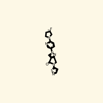 O=C1c2cn(-c3ccc(N4CC[C@H](F)C4)nc3)nc2CN1c1ccns1